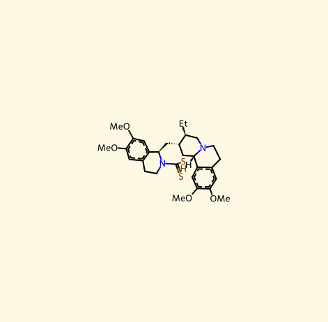 CC[C@H]1CN2CCc3cc(OC)c(OC)cc3[C@@H]2C[C@@H]1C[C@@H]1c2cc(OC)c(OC)cc2CCN1C(=S)S